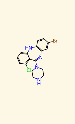 Clc1cccc2c1C(N1CCNCC1)=Nc1cc(Br)ccc1N2